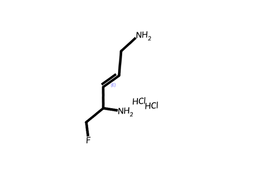 Cl.Cl.NC/C=C/C(N)CF